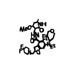 CCc1c(N(CC)C2CCOCC2)cc2oc(CN3CCC(F)(F)CC3)cc2c1C(=O)NCC1C(=O)NC(C)=CC1OC